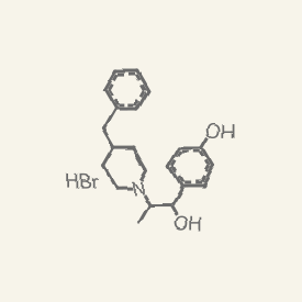 Br.CC(C(O)c1ccc(O)cc1)N1CCC(Cc2ccccc2)CC1